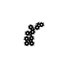 CC1(C)c2ccccc2-c2ccc(-n3c4ccccc4c4c5c6ccccc6n(-c6ccc7c(c6)[Si](c6ccccc6)(c6ccccc6)c6ccccc6-7)c5ccc43)cc21